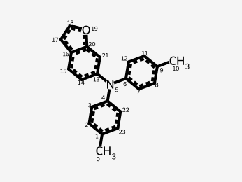 Cc1ccc(N(c2ccc(C)cc2)c2ccc3ccoc3c2)cc1